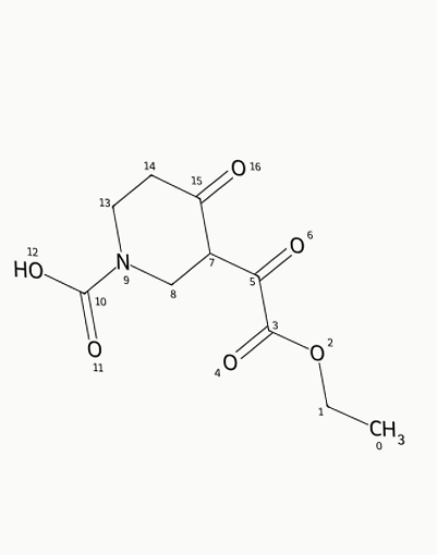 CCOC(=O)C(=O)C1CN(C(=O)O)CCC1=O